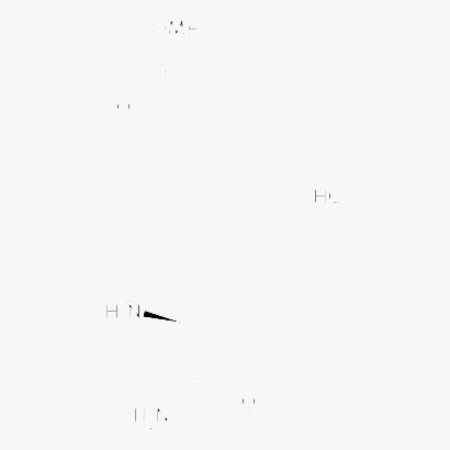 COC(=O)c1cccc(CCC[C@H](N)C(N)=O)c1.Cl